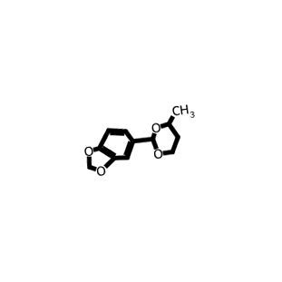 CC1CCOC(c2ccc3c(c2)OCO3)O1